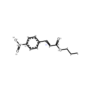 CCCOC(=O)/C=C/c1ccc([N+](=O)[O-])cc1